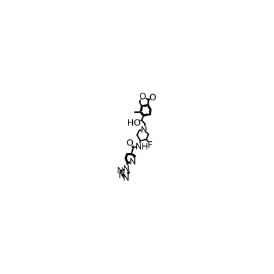 Cc1c(C(O)CN2CCC(NC(=O)c3ccc(-n4cnnn4)nc3)C(F)C2)ccc2c1COC2=O